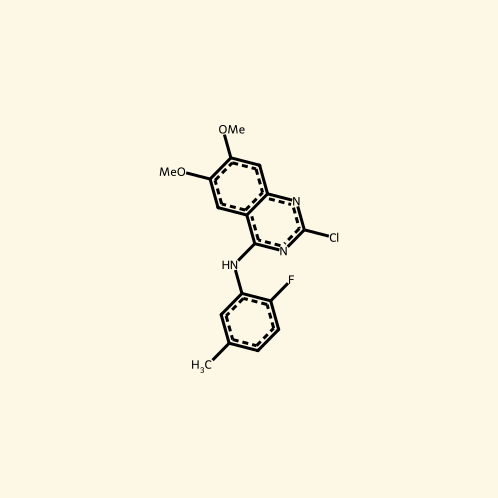 COc1cc2nc(Cl)nc(Nc3cc(C)ccc3F)c2cc1OC